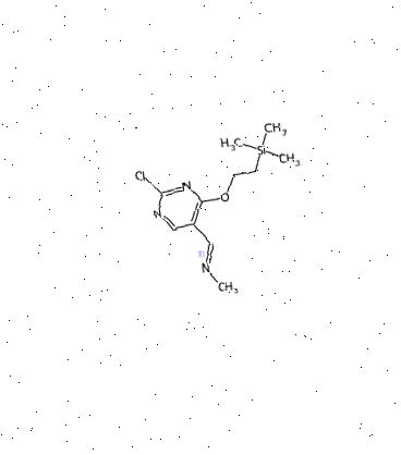 C/N=C/c1cnc(Cl)nc1OCC[Si](C)(C)C